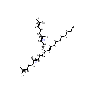 CCCCCCCCC=CC(OC/C=C(\C)CCC=C(C)C)OC/C=C(\C)CCC=C(C)C